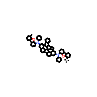 Cc1cccc2c1oc1c(N(c3ccccc3)c3ccc4c5c(ccc4c3)-c3ccc4cc(N(c6ccccc6)c6cccc7c6oc6c([Si](C)(C)C)cccc67)ccc4c3C53c4ccccc4-c4c3ccc3ccccc43)cccc12